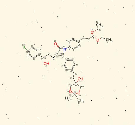 CCOC(CCc1ccc(N2C(=O)[C@H](CC[C@H](O)c3ccc(F)cc3)[C@H]2c2ccc(CCC3(O)COC(C)(C)OC3)cc2)cc1)OCC